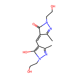 CC1=NN(CCO)C(=O)/C1=C/c1c(C)nn(CCO)c1O